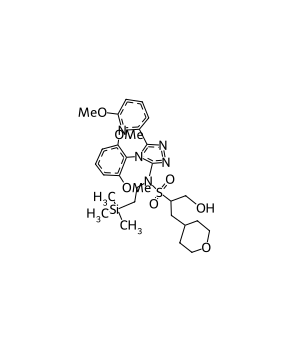 COc1cccc(-c2nnc(N(CC[Si](C)(C)C)S(=O)(=O)C(CO)CC3CCOCC3)n2-c2c(OC)cccc2OC)n1